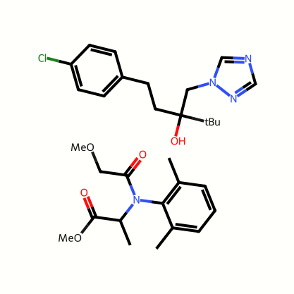 CC(C)(C)C(O)(CCc1ccc(Cl)cc1)Cn1cncn1.COCC(=O)N(c1c(C)cccc1C)C(C)C(=O)OC